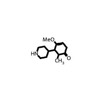 COC1=CCC(=O)C(C)C1C1CCNCC1